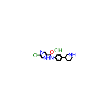 Cl.O=C(Nc1ccc(C2CCCNC2)cc1)c1cnc(Cl)cn1